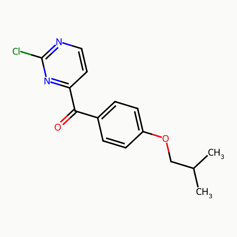 CC(C)COc1ccc(C(=O)c2ccnc(Cl)n2)cc1